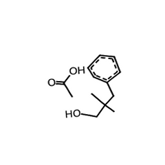 CC(=O)O.CC(C)(CO)Cc1ccccc1